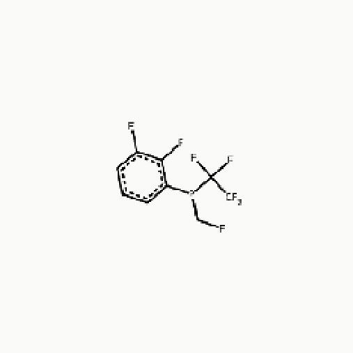 FCP(c1cccc(F)c1F)C(F)(F)C(F)(F)F